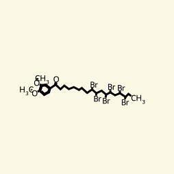 CCC(Br)C(Br)CC(Br)C(Br)CC(Br)C(Br)CCCCCCCC(=O)c1ccc(OC)c(OC)c1